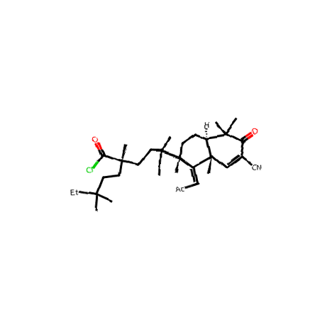 CCC(C)(C)CC[C@@](C)(CCC(C)(C)[C@]1(C)CC[C@H]2C(C)(C)C(=O)C(C#N)=C[C@]2(C)/C1=C/C(C)=O)C(=O)Cl